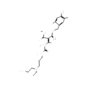 CCN(CCO)CCCNC(=O)Nc1snc(OCc2cc(F)c(Cl)cc2F)c1C(=O)OC